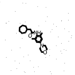 Cc1cc(N2CCOCC2)cc(C)c1NC(=O)CC1CCCCCC1